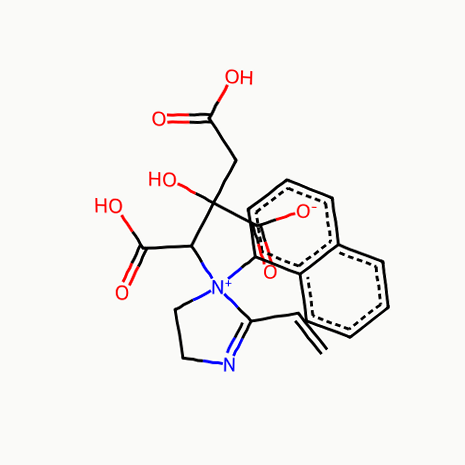 C=CC1=NCC[N+]1(c1cccc2ccccc12)C(C(=O)O)C(O)(CC(=O)O)C(=O)[O-]